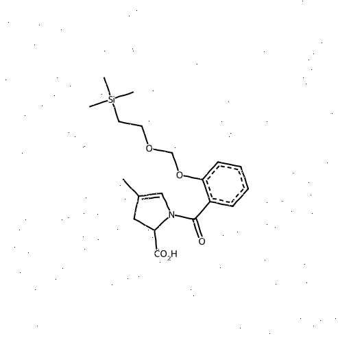 CC1=CN(C(=O)c2ccccc2OCOCC[Si](C)(C)C)C(C(=O)O)C1